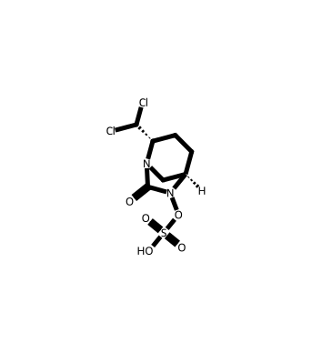 O=C1N2C[C@@H](CC[C@H]2C(Cl)Cl)N1OS(=O)(=O)O